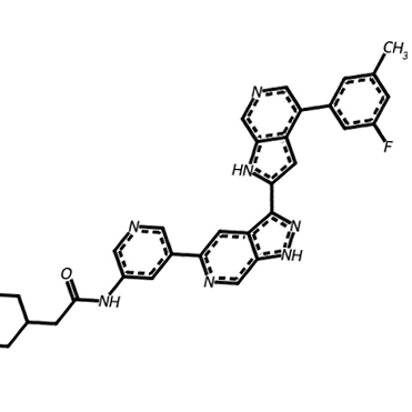 Cc1cc(F)cc(-c2cncc3[nH]c(-c4n[nH]c5cnc(-c6cncc(NC(=O)CC7CCCCC7)c6)cc45)cc23)c1